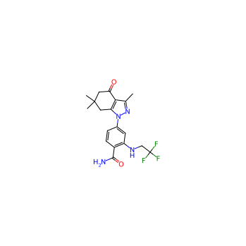 Cc1nn(-c2ccc(C(N)=O)c(NCC(F)(F)F)c2)c2c1C(=O)CC(C)(C)C2